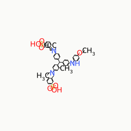 CCOc1ccc(Nc2ccc(C(c3ccc(N(CC)Cc4cccc(S(=O)(=O)O)c4)cc3)c3ccc(N(CC)Cc4cccc(S(=O)(=O)O)c4)cc3C)cc2)cc1